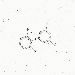 Fc1cc(F)cc(-c2c(F)cccc2F)c1